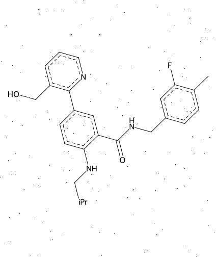 Cc1ccc(CNC(=O)c2cc(-c3ncccc3CO)ccc2NCC(C)C)cc1F